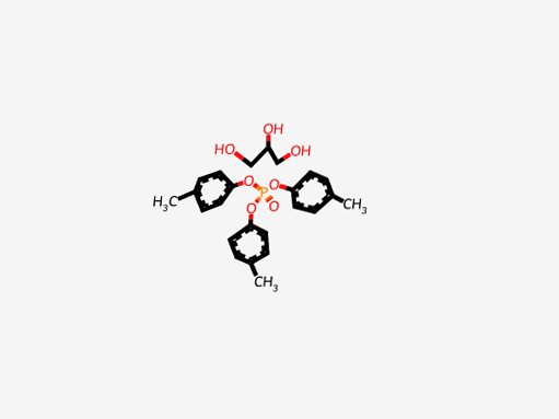 Cc1ccc(OP(=O)(Oc2ccc(C)cc2)Oc2ccc(C)cc2)cc1.OCC(O)CO